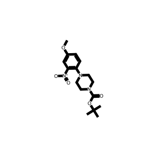 COc1ccc(N2CCN(C(=O)OC(C)(C)C)CC2)c([N+](=O)[O-])c1